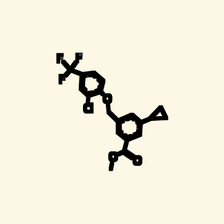 COC(=O)c1cc(COc2ccc(C(F)(F)F)cc2Cl)cc(C2CC2)c1